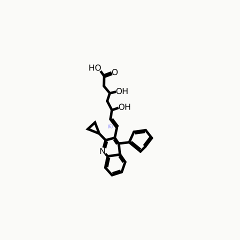 O=C(O)CC(O)CC(O)/C=C/c1c(C2CC2)nc2ccccc2c1-c1ccccc1